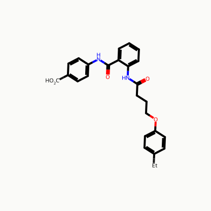 CCc1ccc(OCCCC(=O)Nc2ccccc2C(=O)Nc2ccc(C(=O)O)cc2)cc1